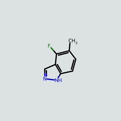 Cc1ccc2[nH]ncc2c1F